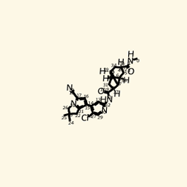 CNC(=O)[C@H]1C[C@@H]2C3[C@@H](C(=O)Nc4cc(-c5cc(C#N)n6c5CC(C)(C)C6)c(Cl)cn4)C[C@@H]2[C@H]3C1